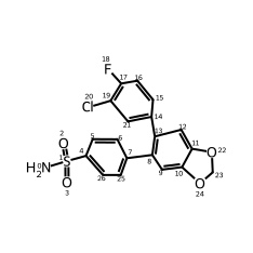 NS(=O)(=O)c1ccc(-c2cc3c(cc2-c2ccc(F)c(Cl)c2)OCO3)cc1